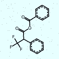 O=C(OC(=O)C(c1ccccc1)C(F)(F)F)c1ccccc1